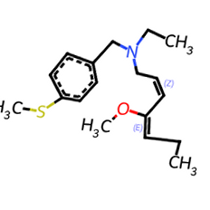 CC/C=C(\C=C/CN(CC)Cc1ccc(SC)cc1)OC